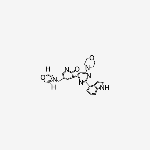 c1cc(-c2nc(N3CCOCC3)c3oc4ncc(CN5C[C@H]6C[C@@H]5CO6)cc4c3n2)c2cc[nH]c2c1